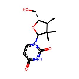 C[C@@H]1[C@@H](CO)OC(n2ccc(=O)[nH]c2=O)C1(C)C